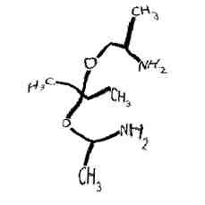 CC(N)OC(C)(C)OC(C)N